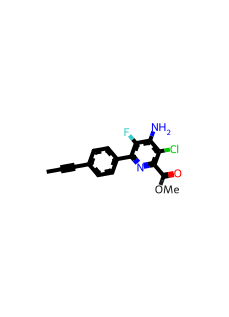 CC#Cc1ccc(-c2nc(C(=O)OC)c(Cl)c(N)c2F)cc1